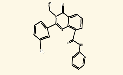 CC(C)Cn1c(-c2cccc(C(F)(F)F)c2)nc2c(C(=O)Nc3ccccn3)cccc2c1=O